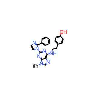 CC(C)n1cnc2c(NCCc3ccc(O)cc3)nc(-n3ccnc3-c3ccccc3)nc21